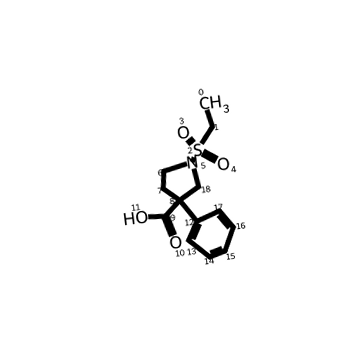 CCS(=O)(=O)N1CCC(C(=O)O)(c2ccccc2)C1